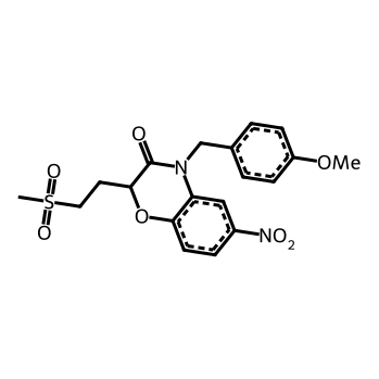 COc1ccc(CN2C(=O)C(CCS(C)(=O)=O)Oc3ccc([N+](=O)[O-])cc32)cc1